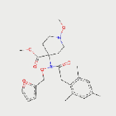 COC(=O)C1(N(OCc2ccco2)C(=O)Cc2c(C)cc(C)cc2C)CCN(OC)CC1